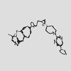 Cc1cnc(Cc2ccc(OCCC3C[C@@H]3C3CCN(c4ncc(Cl)cn4)CC3)cc2F)o1